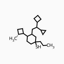 CCCC1(S)CCC(C2CC[C@H]2C)C(CC(C2CCC2)C2CC2)C1